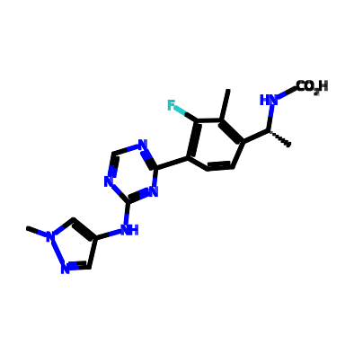 Cc1c([C@@H](C)NC(=O)O)ccc(-c2ncnc(Nc3cnn(C)c3)n2)c1F